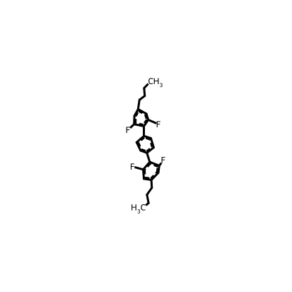 CCCCc1cc(F)c(-c2ccc(-c3c(F)cc(CCCC)cc3F)cc2)c(F)c1